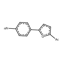 CCCc1ccc(-c2ccc(C(C)=O)o2)cc1